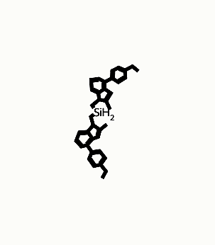 CCc1ccc(-c2cccc3c2C=C(C)C3C[SiH2]CC2C(C)=Cc3c(-c4ccc(CC)cc4)cccc32)cc1